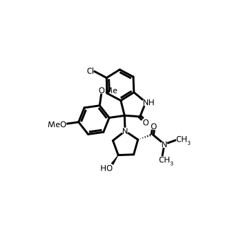 COc1ccc(C2(N3C[C@H](O)C[C@H]3C(=O)N(C)C)C(=O)Nc3ccc(Cl)cc32)c(OC)c1